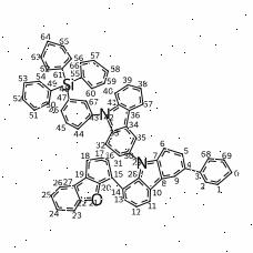 c1ccc(-c2ccc3c(c2)c2cccc(-c4cccc5c4oc4ccccc45)c2n3-c2ccc3c(c2)c2ccccc2n3-c2cccc([Si](c3ccccc3)(c3ccccc3)c3ccccc3)c2)cc1